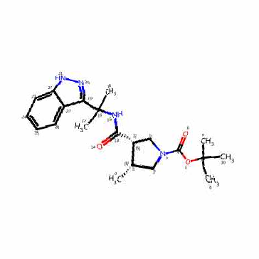 C[C@H]1CN(C(=O)OC(C)(C)C)C[C@H]1C(=O)NC(C)(C)c1n[nH]c2ccccc12